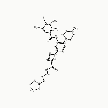 Cc1c(F)c([N+](=O)[O-])cc(C(=O)Nc2cc(-n3cc(C(=O)NCCCN4CCOCC4)nn3)ccc2N2CCN(C)CC2)c1Cl